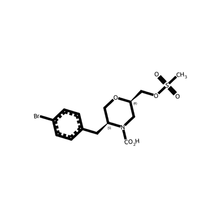 CS(=O)(=O)OC[C@H]1CN(C(=O)O)[C@@H](Cc2ccc(Br)cc2)CO1